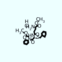 CCOC(=O)CN(C(=O)[C@H](CSCc1ccccc1)NC(=O)CC[C@H](N)C(=O)OCC)c1ccccc1.Cl